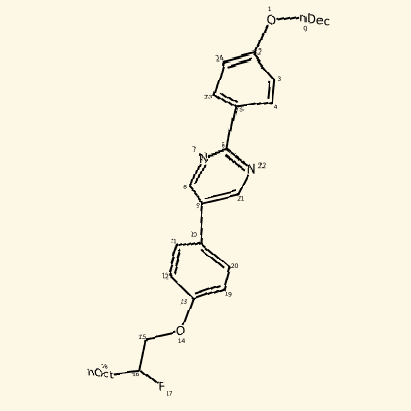 CCCCCCCCCCOc1ccc(-c2ncc(-c3ccc(OCC(F)CCCCCCCC)cc3)cn2)cc1